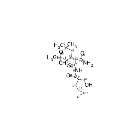 CC1(C)Cc2c(sc(NC(=O)C(CO)CC3CC3)c2C(N)=O)C(C)(C)O1